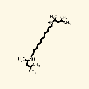 CC(C)CC(C)NCCCCCCCCCCCCNC(C)CC(C)C